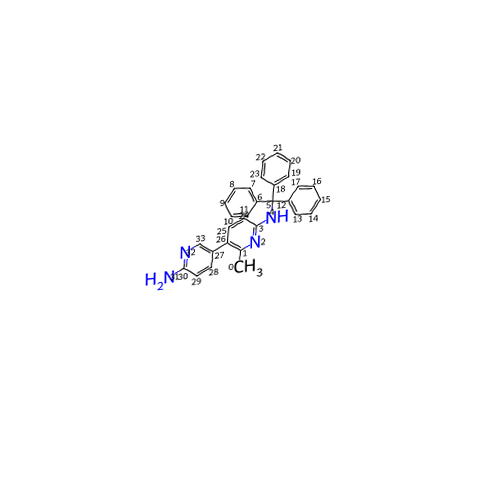 Cc1nc(NC(c2ccccc2)(c2ccccc2)c2ccccc2)ccc1-c1ccc(N)nc1